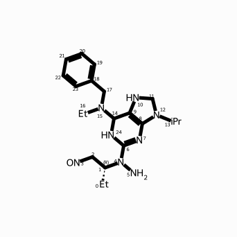 CC[C@H](CN=O)N(N)C1=NC2=C(NCN2C(C)C)C(N(CC)Cc2ccccc2)N1